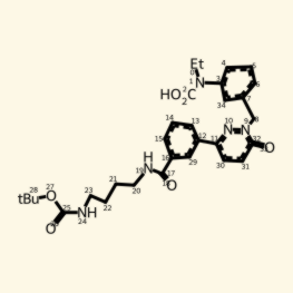 CCN(C(=O)O)c1cccc(Cn2nc(-c3cccc(C(=O)NCCCCNC(=O)OC(C)(C)C)c3)ccc2=O)c1